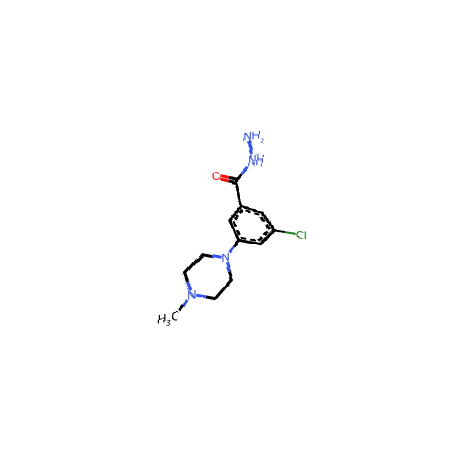 CN1CCN(c2cc(Cl)cc(C(=O)NN)c2)CC1